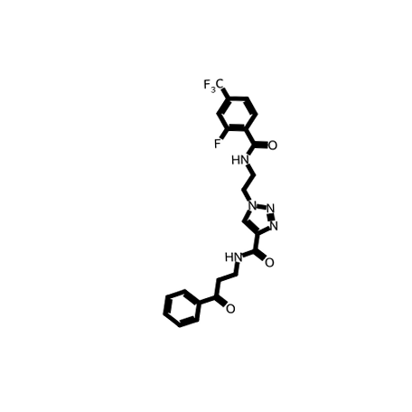 O=C(CCNC(=O)c1cn(CCNC(=O)c2ccc(C(F)(F)F)cc2F)nn1)c1ccccc1